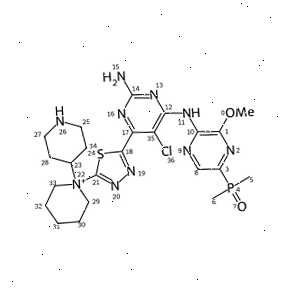 COc1nc(P(C)(C)=O)cnc1Nc1nc(N)nc(-c2nnc([N+]3(C4CCNCC4)CCCCC3)s2)c1Cl